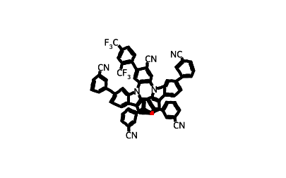 N#Cc1cccc(-c2ccc3c4ccc(-c5cccc(C#N)c5)cc4n(-c4cc(C#N)c(-c5ccc(C(F)(F)F)cc5C(F)(F)F)cc4-n4c5cc(-c6cccc(C#N)c6)ccc5c5ccc(-c6cccc(C#N)c6)cc54)c3c2)c1